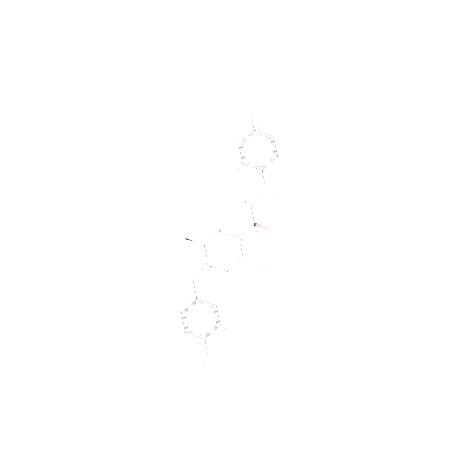 C[C@@H]1CN(Cc2ccc(F)cc2)[C@@H](C)CN1C(=O)COc1ccc(F)cc1